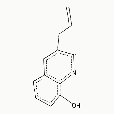 C=CCc1[c]nc2c(O)cccc2c1